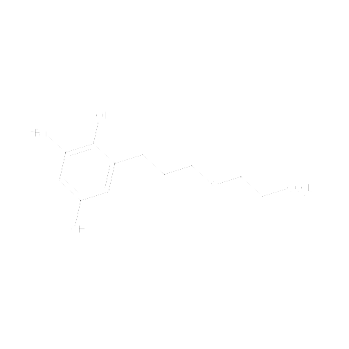 CCOC(=O)CCSCCCc1cc(C)cc(C(C)(C)C)c1O